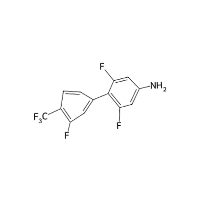 Nc1cc(F)c(-c2ccc(C(F)(F)F)c(F)c2)c(F)c1